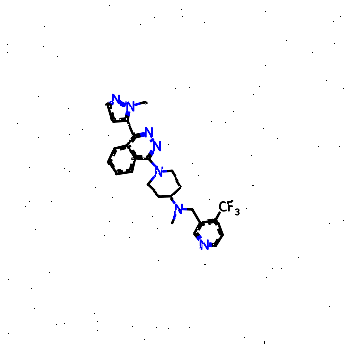 CN(Cc1cnccc1C(F)(F)F)C1CCN(c2nnc(-c3ccnn3C)c3ccccc23)CC1